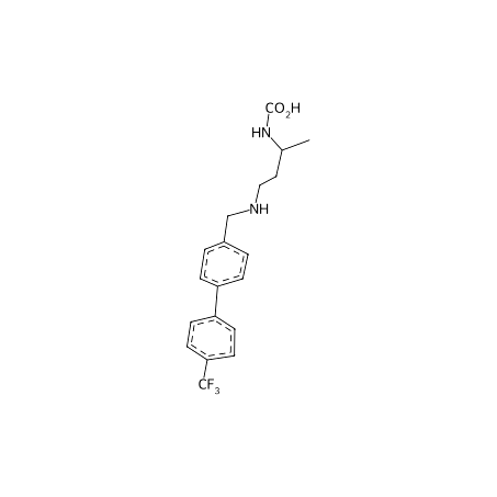 CC(CCNCc1ccc(-c2ccc(C(F)(F)F)cc2)cc1)NC(=O)O